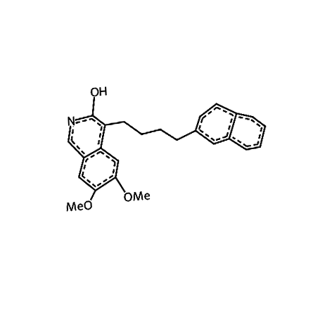 COc1cc2cnc(O)c(CCCCc3ccc4ccccc4c3)c2cc1OC